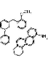 COc1ccccc1CC1=CC=CN(c2ccccc2)C1.Nc1cccc2c1ccc1c3c(ccc12)CCCC3